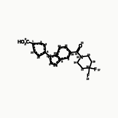 O=C(O)c1ccc(-n2cnc3cc(C(=O)N4CCC(F)(F)CC4)ccc32)cc1